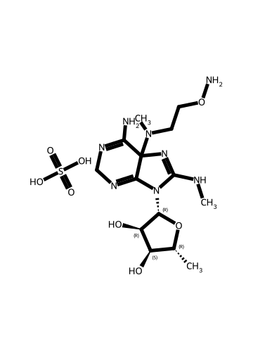 CNC1=NC2(N(C)CCON)C(N)=NCN=C2N1[C@@H]1O[C@H](C)[C@@H](O)[C@H]1O.O=S(=O)(O)O